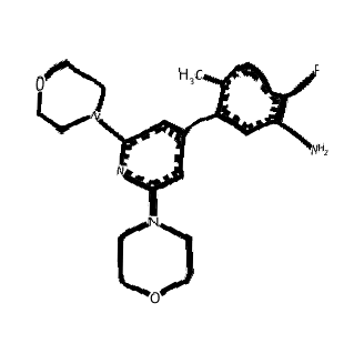 Cc1cc(F)c(N)cc1-c1cc(N2CCOCC2)nc(N2CCOCC2)c1